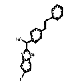 OC(c1ccc(/C=C/c2ccccc2)cc1)c1nc2cc(F)ccc2[nH]1